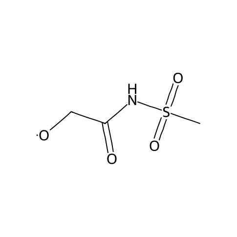 CS(=O)(=O)NC(=O)C[O]